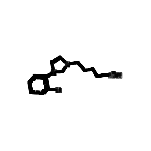 CCCCCCCCCCCCCCN1C=CN(c2ccccc2CC)C1